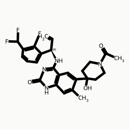 C=C[C@@H](Nc1nc(=O)[nH]c2cc(C)c(C3(O)CCN(C(C)=O)CC3)cc12)c1cccc(C(F)F)c1F